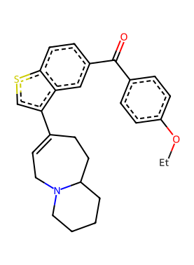 CCOc1ccc(C(=O)c2ccc3scc(C4=CCN5CCCCC5CC4)c3c2)cc1